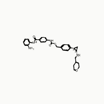 Nc1ccccc1NC(=O)c1ccc(NC(=O)OCc2ccc([C@H]3C[C@@H]3NCC3CCOCC3)cc2)cc1